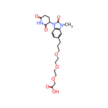 Cn1c(=O)n(C2CCC(=O)NC2=O)c2ccc(CCCOCCOCCOCC(=O)O)cc21